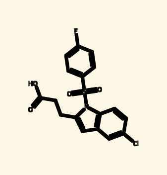 O=C(O)CCc1cc2cc(Cl)ccc2n1S(=O)(=O)c1ccc(F)cc1